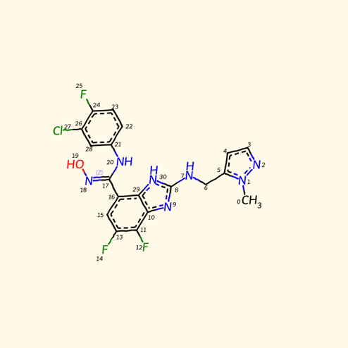 Cn1nccc1CNc1nc2c(F)c(F)cc(/C(=N/O)Nc3ccc(F)c(Cl)c3)c2[nH]1